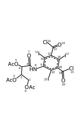 CC(=O)OCC(OC(C)=O)C(OC(C)=O)C(=O)Nc1c(I)c(C(=O)Cl)c(I)c(C(=O)Cl)c1I